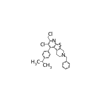 CC(C)c1ccc(-c2c(Cl)c(CCl)nc3sc4c(c23)CCN(Cc2ccccc2)C4)cc1